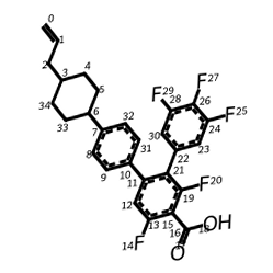 C=CCC1CCC(c2ccc(-c3cc(F)c(C(=O)O)c(F)c3-c3cc(F)c(F)c(F)c3)cc2)CC1